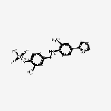 Cc1cc(-c2ccco2)ccc1NCc1ccc(NS(=O)(=O)C(C)C)c(C)c1